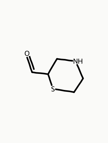 O=CC1CNCCS1